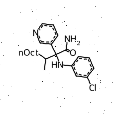 CCCCCCCCC(C)C(Nc1cccc(Cl)c1)(C(N)=O)c1cccnc1